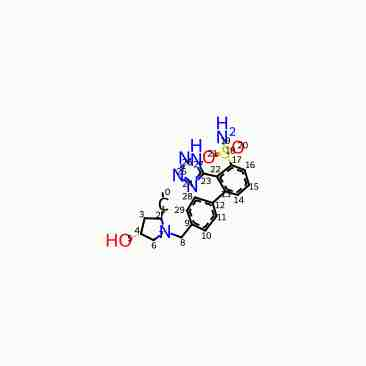 CC[C@@H]1C[C@@H](O)CN1Cc1ccc(-c2cccc(S(N)(=O)=O)c2-c2nnn[nH]2)cc1